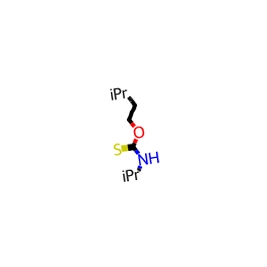 CC(C)CCOC(=S)NC(C)C